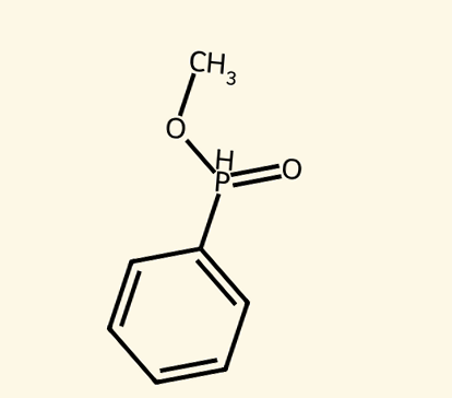 CO[PH](=O)c1ccccc1